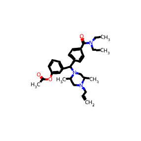 C=CCN1CC(C)N(C(c2ccc(C(=O)N(CC)CC)cc2)c2cccc(OC(C)=O)c2)CC1C